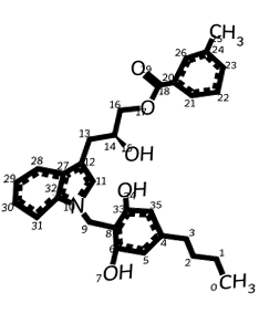 CCCCc1cc(O)c(Cn2cc(C[C@H](O)COC(=O)c3cccc(C)c3)c3ccccc32)c(O)c1